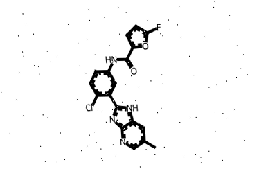 Cc1cnc2nc(-c3cc(NC(=O)c4ccc(F)o4)ccc3Cl)[nH]c2c1